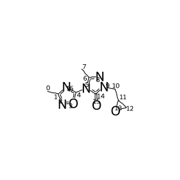 Cc1noc(-n2c(C)nn(CC3CO3)c2=O)n1